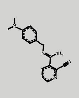 CN(C)c1ccc(C/N=C(\N)c2cccnc2C#N)cc1